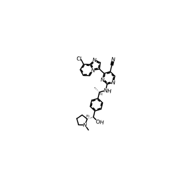 C[C@H](Nc1ncc(C#N)c(-c2cnc3c(Cl)cccn23)n1)c1ccc(C(O)[C@H]2CCCN2C)cc1